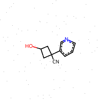 N#CC1(c2cccnc2)CC(O)C1